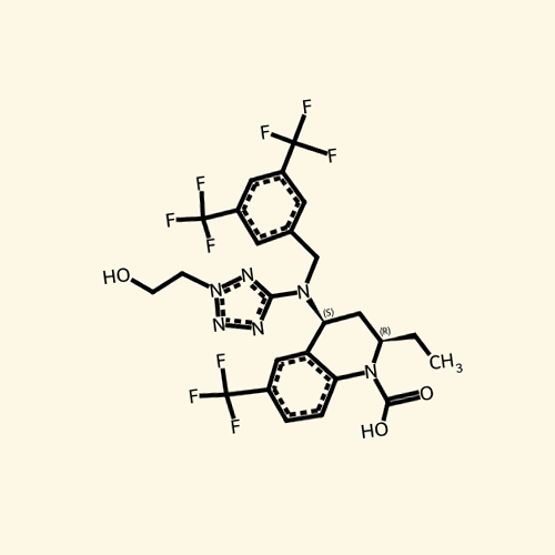 CC[C@@H]1C[C@H](N(Cc2cc(C(F)(F)F)cc(C(F)(F)F)c2)c2nnn(CCO)n2)c2cc(C(F)(F)F)ccc2N1C(=O)O